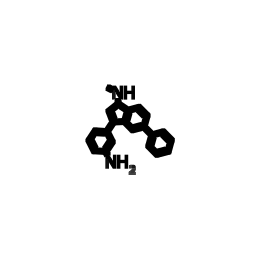 CNC1C=C(c2cccc(N)c2)c2cc(-c3ccccc3)ccc21